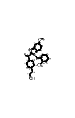 COc1ccc2c(c1)nc(C(C)c1ccc(CCO)cc1)n2Cc1ccccc1Cl